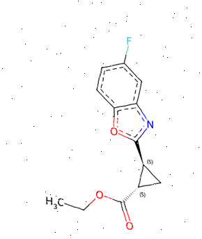 CCOC(=O)[C@H]1C[C@@H]1c1nc2cc(F)ccc2o1